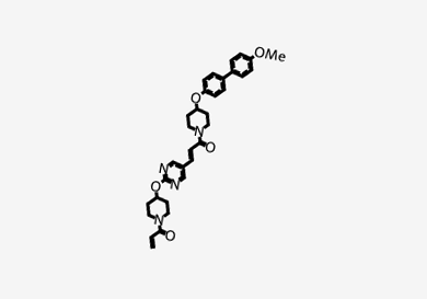 C=CC(=O)N1CCC(Oc2ncc(/C=C/C(=O)N3CCC(Oc4ccc(-c5ccc(OC)cc5)cc4)CC3)cn2)CC1